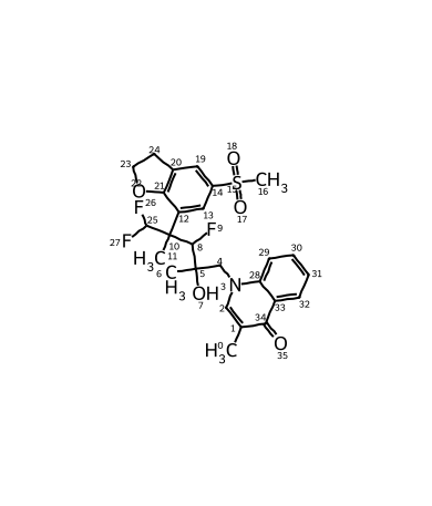 Cc1cn(CC(C)(O)C(F)C(C)(c2cc(S(C)(=O)=O)cc3c2OCC3)C(F)F)c2ccccc2c1=O